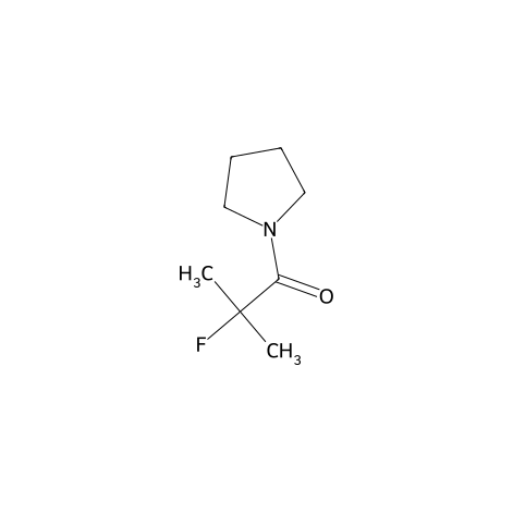 CC(C)(F)C(=O)N1CCCC1